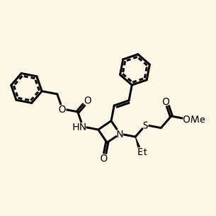 CC[C@H](SCC(=O)OC)N1C(=O)C(NC(=O)OCc2ccccc2)C1C=Cc1ccccc1